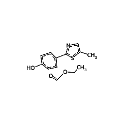 CCOC=O.Cc1cnc(-c2ccc(O)cc2)s1